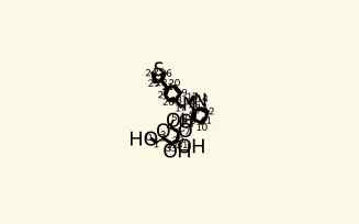 OC[C@H]1O[C@@H](O)[C@H](OOc2cccc3ncn(Cc4ccc(-c5ccsc5)cc4)c23)[C@@H](O)[C@@H]1O